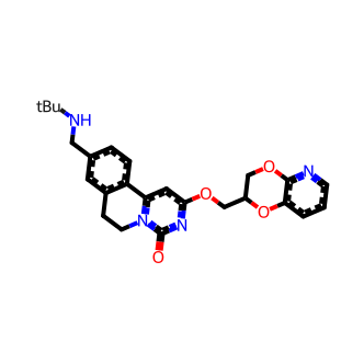 CC(C)(C)NCc1ccc2c(c1)CCn1c-2cc(OCC2COc3ncccc3O2)nc1=O